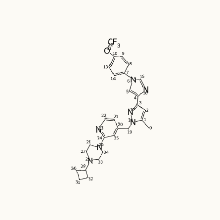 Cc1cc(-c2cn(-c3ccc(OC(F)(F)F)cc3)cn2)nn1Cc1ccnc(N2CCN(C3CCC3)CC2)c1